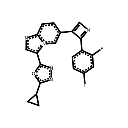 Fc1ccc(C2=NC=C2c2ccc3ncc(-c4nnc(C5CC5)o4)n3c2)c(F)c1